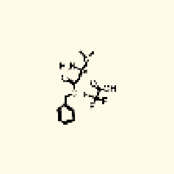 CN(C)C[C@H](N)CC(=O)OCc1ccccc1.O=C(O)C(F)(F)F